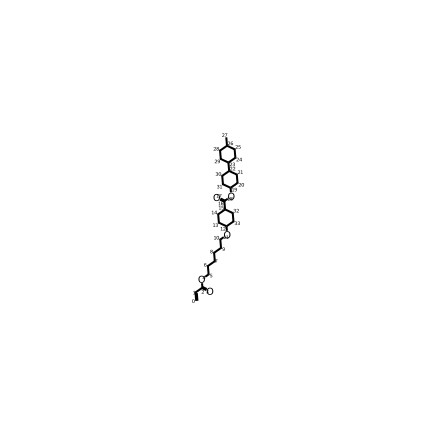 C=CC(=O)OCCCCCCOC1CCC(C(=O)OC2CCC(C3CCC(C)CC3)CC2)CC1